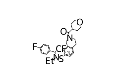 CCN(Sc1ccc2c(c1)CN(C(=O)C1CCOCC1)CC2)C(c1ccc(F)cc1)C(F)(F)F